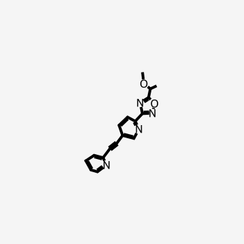 COC(C)c1nc(-c2ccc(C#Cc3ccccn3)cn2)no1